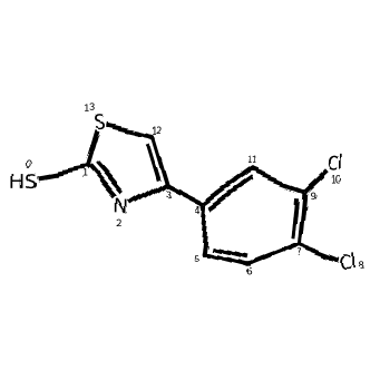 Sc1nc(-c2ccc(Cl)c(Cl)c2)cs1